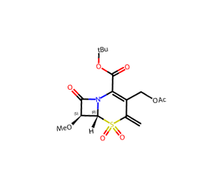 C=C1C(COC(C)=O)=C(C(=O)OC(C)(C)C)N2C(=O)[C@H](OC)[C@H]2S1(=O)=O